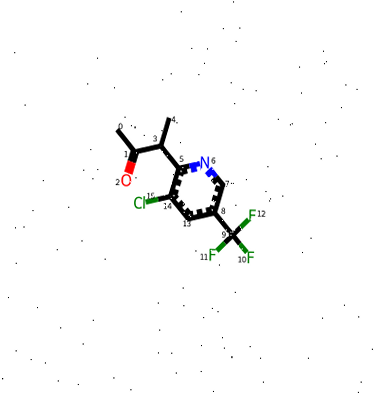 CC(=O)C(C)c1ncc(C(F)(F)F)cc1Cl